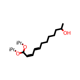 CC(O)CCCCCC=C/C=C\C(OC(C)C)OC(C)C